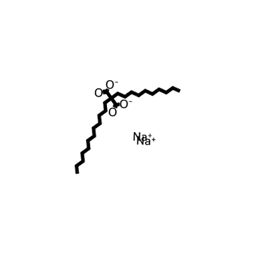 CCCCCCCCCCCCC(CCCCCCCCCC)(C(=O)[O-])C(=O)[O-].[Na+].[Na+]